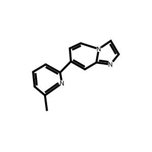 Cc1cccc(-c2ccn3ccnc3c2)n1